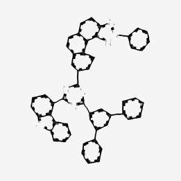 c1ccc(-c2cc(-c3ccccc3)cc(-c3nc(-c4ccc5c(ccc6ccc7nn(-c8ccccc8)nc7c65)c4)nc(-c4cccc5oc6ccccc6c45)n3)c2)cc1